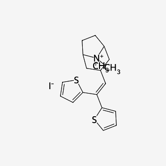 C[N+]1(C)C2CCC1CC(C=C(c1cccs1)c1cccs1)C2.[I-]